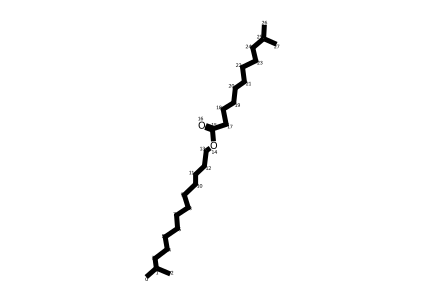 CC(C)CCCCCCCCCCCOC(=O)CCCCCCCCC(C)C